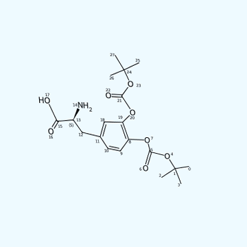 CC(C)(C)OC(=O)Oc1ccc(C[C@H](N)C(=O)O)cc1OC(=O)OC(C)(C)C